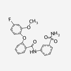 COc1cc(F)ccc1Oc1ccccc1C(=O)Nc1cccc(S(N)(=O)=O)c1